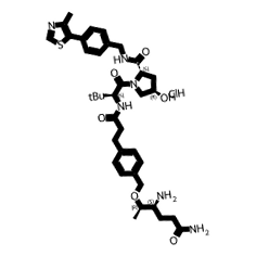 Cc1ncsc1-c1ccc(CNC(=O)[C@@H]2C[C@@H](O)CN2C(=O)[C@@H](NC(=O)CCc2ccc(CO[C@H](C)[C@@H](N)CCC(N)=O)cc2)C(C)(C)C)cc1.Cl